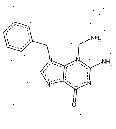 NCn1c(N)nc(=O)c2ncn(Cc3ccccc3)c21